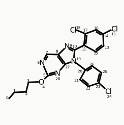 CCCCOc1ncc2nc(-c3ccc(Cl)cc3Cl)n(-c3ccc(Cl)cc3)c2n1